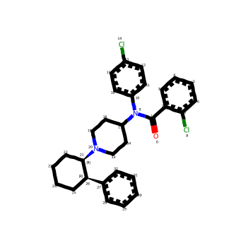 O=C(c1ccccc1Cl)N(c1ccc(Cl)cc1)C1CCN([C@@H]2CCCC[C@@H]2c2ccccc2)CC1